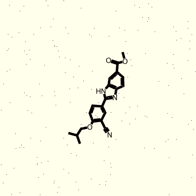 COC(=O)c1ccc2nc(-c3ccc(OCC(C)C)c(C#N)c3)[nH]c2c1